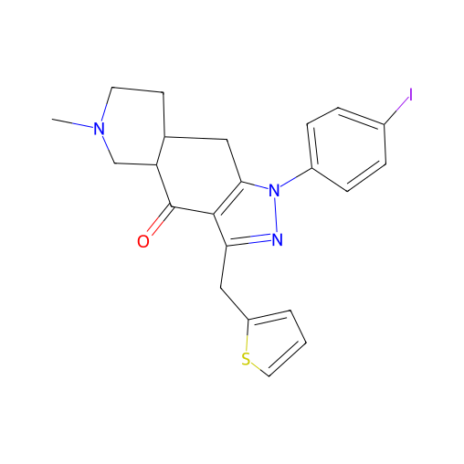 CN1CCC2Cc3c(c(Cc4cccs4)nn3-c3ccc(I)cc3)C(=O)C2C1